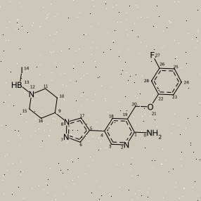 Nc1ncc(-c2cnn(C3CCN(BI)CC3)c2)cc1COc1cccc(F)c1